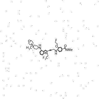 CNC(=O)c1ccc(NCC#Cc2cc3c(NC4CCC(C)(N5CCOCC5)CC4)cccc3n2CC(F)(F)F)c(OCCF)c1